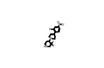 O=[N+]([O-])c1ccc(C2=CCN(C3CCNCC3(F)F)CC2)c(F)c1